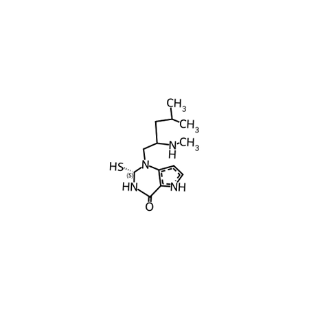 CNC(CC(C)C)CN1c2cc[nH]c2C(=O)N[C@@H]1S